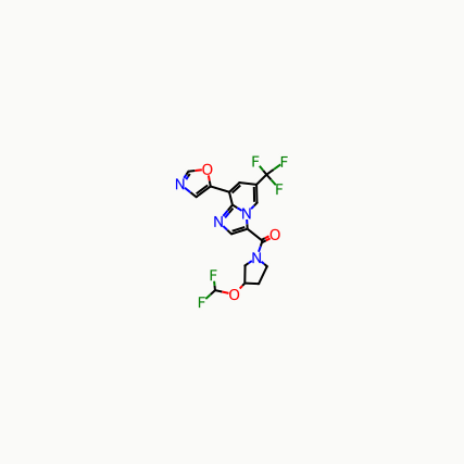 O=C(c1cnc2c(-c3cnco3)cc(C(F)(F)F)cn12)N1CCC(OC(F)F)C1